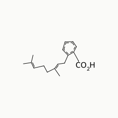 CC(C)=CCC/C(C)=C/Cc1ccccc1CC(=O)O